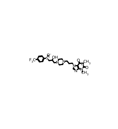 Cn1c(=O)c2c(ncn2CCCN2CCN(CC(O)C[S+]([O-])c3ccc(C(F)(F)F)cc3)CC2)n(C)c1=O